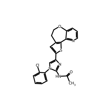 CC(=O)Nc1nc(-c2cc3c(s2)-c2ncccc2OCC3)cn1-c1ccccc1Cl